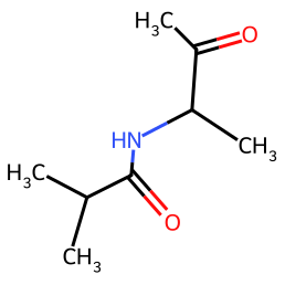 CC(=O)C(C)NC(=O)C(C)C